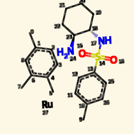 Cc1ccc(C)c(C)c1.Cc1ccc(S(=O)(=O)N[C@H]2CCCC[C@@H]2N)cc1.[Ru]